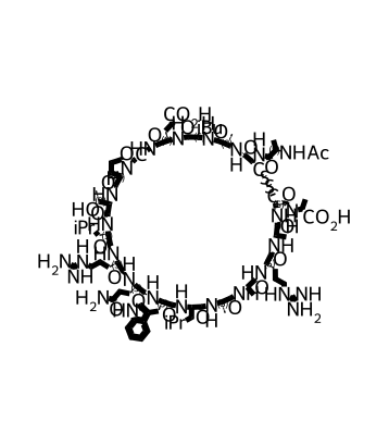 CCC(C)[C@@H]1NC(=O)[C@H](C)NC(=O)C(NC(=O)[C@H](C)NC(C)=O)CSSC[C@H](C(=O)NC(C)C(=O)O)NC(=O)C(C)NC(=O)[C@H](CCCNC(=N)N)NC(=O)C(C)NC(=O)[C@H](C)NC(=O)C(CC(C)C)NC(=O)[C@H](Cc2c[nH]c3ccccc23)NC(=O)[C@H](CCC(N)=O)NC(=O)[C@H](CCCNC(=N)N)NC(=O)[C@H](CC(C)C)NC(=O)C([C@@H](C)O)NC(=O)[C@@H]2CCCN2C(=O)CNC(=O)[C@H](CCC(=O)O)NC1=O